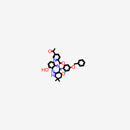 CC(=O)c1ccc(C(=O)N2c3cccc(O)c3NC3=C(C(=O)CC(C)(C)C3)[C@@H]2c2ccc(OCc3ccccc3)cc2F)nc1